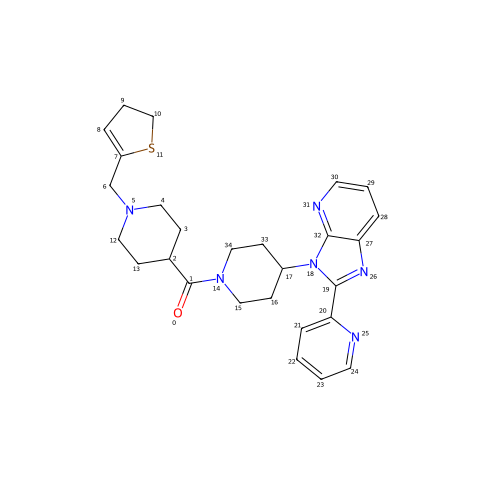 O=C(C1CCN(CC2=CCCS2)CC1)N1CCC(n2c(-c3ccccn3)nc3cccnc32)CC1